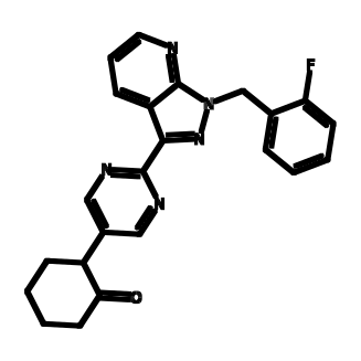 O=C1CCCCC1c1cnc(-c2nn(Cc3ccccc3F)c3ncccc23)nc1